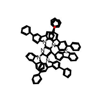 c1ccc(-c2ccc3c(c2)c2cc(-c4ccccc4)ccc2n3-c2nc(-n3c4ccccc4c4ccccc43)c(-n3c4ccc(-c5ccccc5)cc4c4cc(-c5ccccc5)ccc43)c(-c3ccc4c(c3)sc3ccccc34)c2-n2c3ccc(-c4ccccc4)cc3c3cc(-c4ccccc4)ccc32)cc1